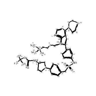 CC(C)(C)OC(=O)N[C@@H]1CCN(c2ccc(CS(=O)(=O)Nc3ccc(-c4cc5c(N6CCOCC6)ncnc5n4COCC[Si](C)(C)C)cc3)cc2)C1